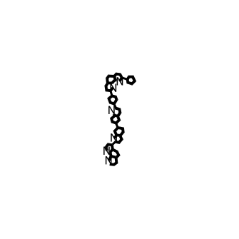 c1ccc(-c2ccc3ccc4ccc(-c5ccc(-c6ccc7cc(-c8ccc9ccc(-c%10ccnc%11c%10ccc%10cccnc%10%11)nc9c8)ccc7n6)cc5)nc4c3n2)cc1